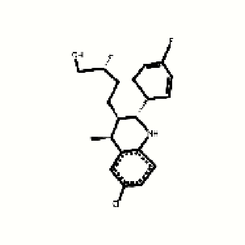 C[C@@H](CO)CC[C@@H]1[C@H](C)c2cc(Cl)ccc2N[C@H]1C1C=CC(F)=CC1